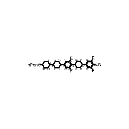 CCCCCC1CCC(C2CCC(c3cc(F)c(C4CCC(c5cc(F)c(C#N)c(F)c5)CC4)c(F)c3)CC2)CC1